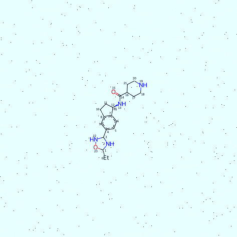 CCC1NC(c2ccc3c(c2)CC[C@H]3NC(=O)C2CCNCC2)NO1